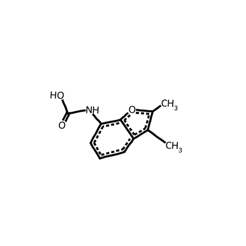 Cc1oc2c(NC(=O)O)cccc2c1C